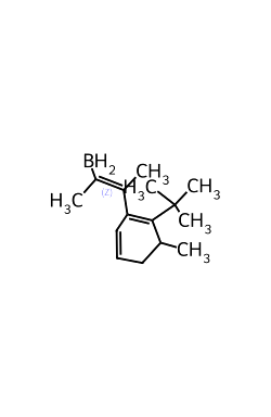 B/C(C)=C(\C)C1=C(C(C)(C)C)C(C)CC=C1